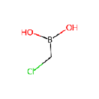 OB(O)CCl